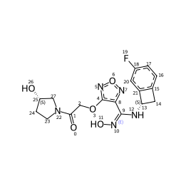 O=C(COc1nonc1/C(=N\O)N[C@H]1Cc2ccc(F)cc21)N1CC[C@H](O)C1